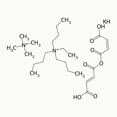 CCCC[N+](CC)(CCCC)CCCC.C[N+](C)(C)C.O=C(O)/C=C\C(=O)OC(=O)/C=C/C(=O)O.[KH]